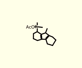 CC(=O)[O][Ti]([CH3])([CH3])[CH]1CCCC2=C1C(C)C1=C2CCCC1